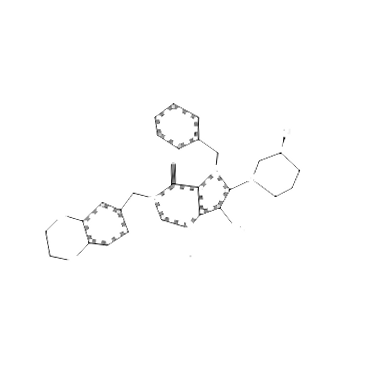 Cl.N#Cc1c(N2CCC[C@H](N)C2)n(Cc2ccccc2)c2c(=O)n(Cc3ccc4c(c3)OCCO4)cnc12